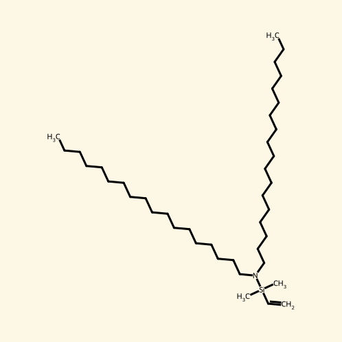 C=C[Si](C)(C)N(CCCCCCCCCCCCCCCCCC)CCCCCCCCCCCCCCCCCC